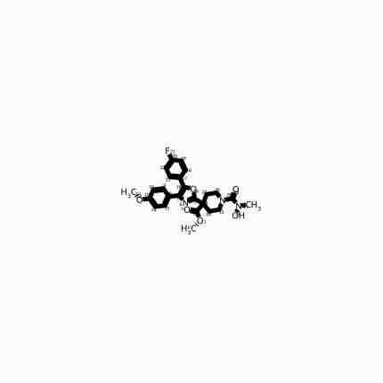 COC(=O)C1(c2nc(-c3ccc(OC)cc3)c(-c3ccc(F)cc3)o2)CCN(C(=O)N(C)O)CC1